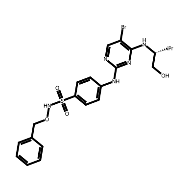 CC(C)[C@H](CO)Nc1nc(Nc2ccc(S(=O)(=O)NOCc3ccccc3)cc2)ncc1Br